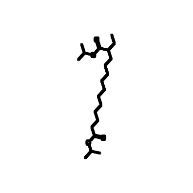 CCC(CCCCCCCCCCC(=O)OC(C)C)C(=O)OC(C)C